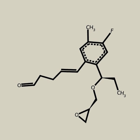 CC[C@@H](OC[C@H]1CO1)c1cc(F)c(C)cc1/C=C/CCC=O